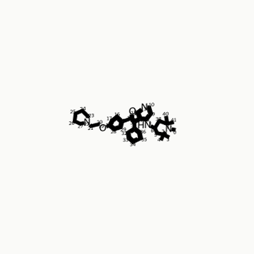 CN1C(C)(C)CC(Nc2ccnc3oc(-c4ccc(OCCN5CCCCC5)cc4)c(-c4ccccc4)c23)CC1(C)C